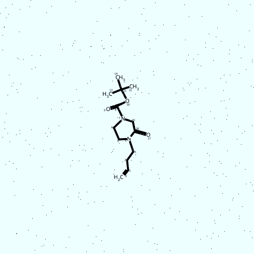 C=CCCN1CCN(C(=O)OC(C)(C)C)CC1=O